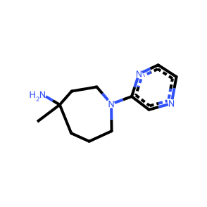 CC1(N)CCCN(c2cnccn2)CC1